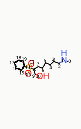 CNCCCCCCC(CO)S(=O)(=O)c1ccccc1